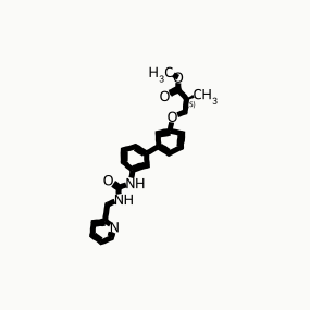 COC(=O)[C@@H](C)COc1cccc(-c2cccc(NC(=O)NCc3ccccn3)c2)c1